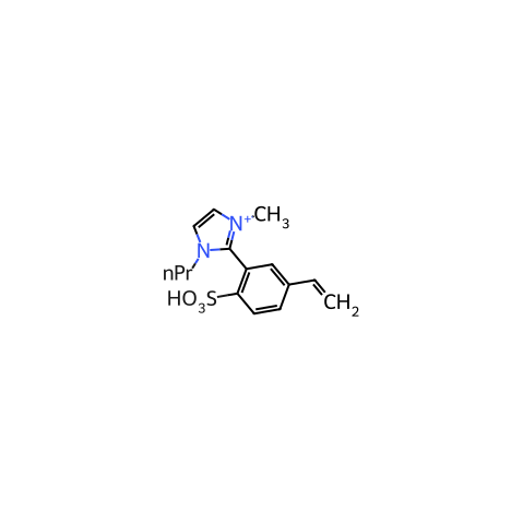 C=Cc1ccc(S(=O)(=O)O)c(-c2n(CCC)cc[n+]2C)c1